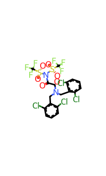 O=C(C(=O)N(S(=O)(=O)C(F)(F)F)S(=O)(=O)C(F)(F)F)N(Cc1c(Cl)cccc1Cl)Cc1c(Cl)cccc1Cl